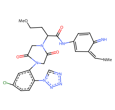 CN/C=C1/C=C(NC(=O)C(CCOC)N2CC(=O)N(c3cc(Cl)ccc3-n3cnnn3)CC2=O)C=CC1=N